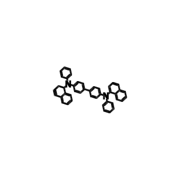 C1#Cc2ccccc2C(N(c2ccccc2)c2ccc(-c3ccc(N(c4ccccc4)c4cccc5ccccc45)cc3)cc2)C1